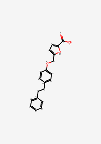 O=C(O)c1ccc(COc2ccc(CCc3ccccc3)cc2)o1